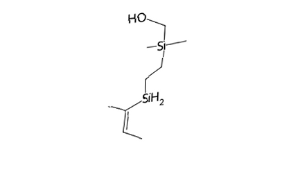 CC=C(C)[SiH2]CC[Si](C)(C)CO